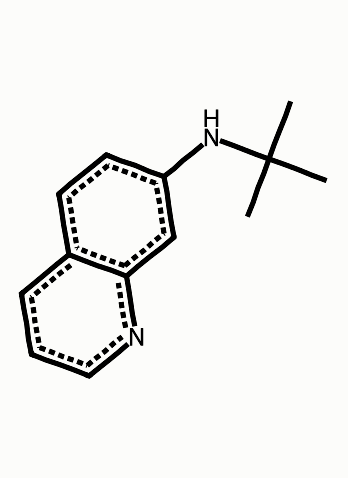 CC(C)(C)Nc1ccc2cccnc2c1